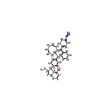 CCC1=CC2CC=CC3=C2C1c1ccc(C2c4ccccc4C(C4=CC=C(C#N)CC4)C4/C=C\C/C=C\CC24)cc1O3